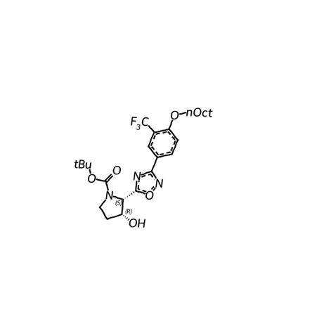 CCCCCCCCOc1ccc(-c2noc([C@@H]3[C@H](O)CCN3C(=O)OC(C)(C)C)n2)cc1C(F)(F)F